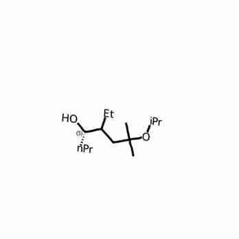 CCC[C@H](O)C(CC)CC(C)(C)OC(C)C